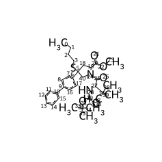 CCCCSC1(c2ccc(-c3ccccc3)cc2)CC(C(=O)OC)N(C(=O)[C@@H](NC(=O)OC(C)(C)C)C(C)(C)C)C1